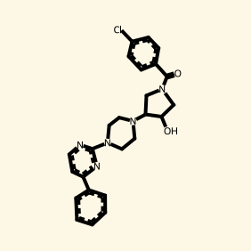 O=C(c1ccc(Cl)cc1)N1CC(O)C(N2CCN(c3nccc(-c4ccccc4)n3)CC2)C1